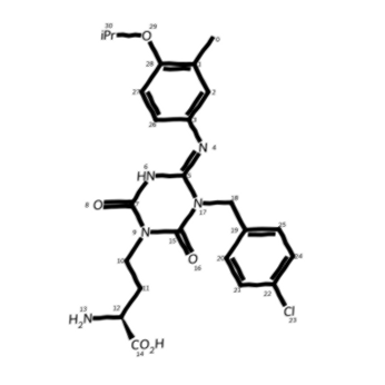 Cc1cc(/N=c2\[nH]c(=O)n(CC[C@H](N)C(=O)O)c(=O)n2Cc2ccc(Cl)cc2)ccc1OC(C)C